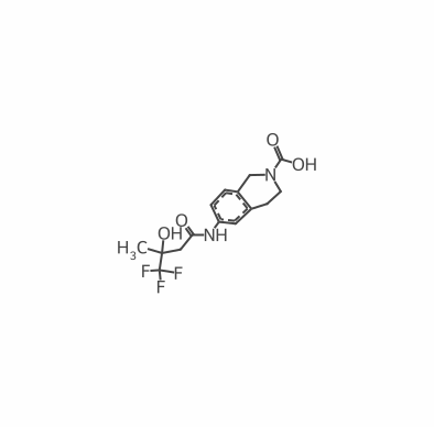 CC(O)(CC(=O)Nc1ccc2c(c1)CCN(C(=O)O)C2)C(F)(F)F